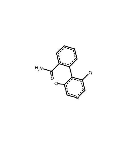 NC(=O)c1ccccc1-c1c(Cl)cncc1Cl